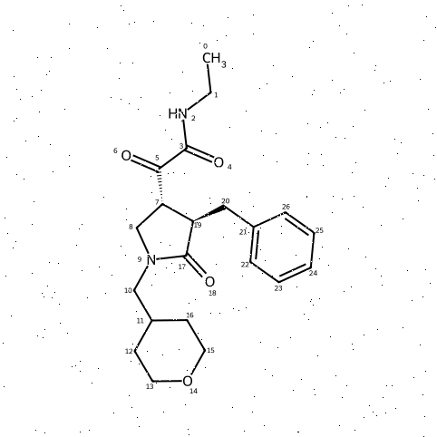 CCNC(=O)C(=O)[C@H]1CN(CC2CCOCC2)C(=O)[C@@H]1Cc1ccccc1